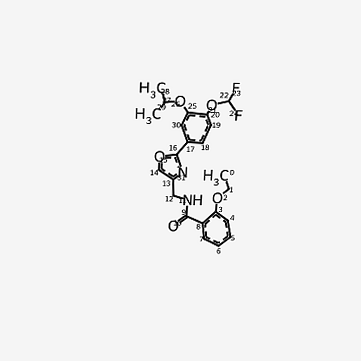 CCOc1ccccc1C(=O)NCc1coc(-c2ccc(OC(F)F)c(OC(C)C)c2)n1